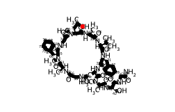 CC(C)C[C@H]1C(=O)N[C@@H](C)C(=O)N[C@@H](C(C)C)C(=O)N[C@@H](Cc2ccccc2)C(=O)N[C@@H](C(=O)N(C)[C@@H](C)C(=O)N[C@@H](CO)C(=O)NCC(N)=O)CC(=O)NCC(=O)N[C@@H](C)C(=O)N(C)[C@@H](Cc2ccccc2)C(=O)NCC(=O)N1C